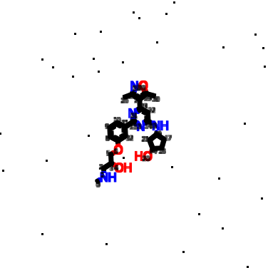 CNCC(O)COc1cccc(-c2nc(N[C@@H]3CC[C@@H](O)C3)cc(-c3c(C)noc3C)n2)c1